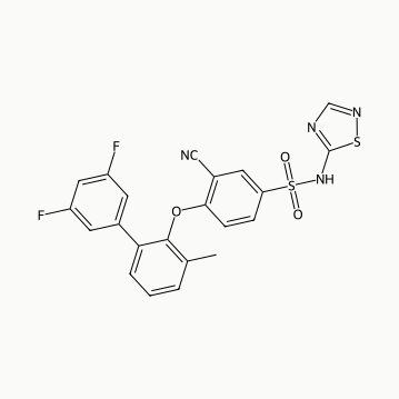 Cc1cccc(-c2cc(F)cc(F)c2)c1Oc1ccc(S(=O)(=O)Nc2ncns2)cc1C#N